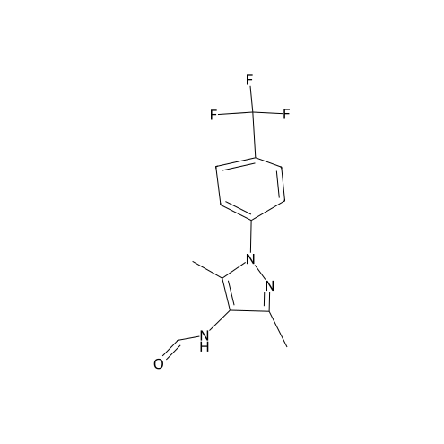 Cc1nn(-c2ccc(C(F)(F)F)cc2)c(C)c1NC=O